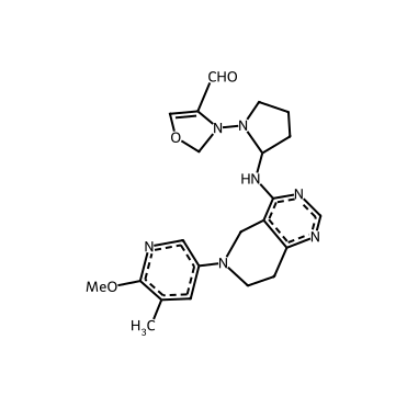 COc1ncc(N2CCc3ncnc(NC4CCCN4N4COC=C4C=O)c3C2)cc1C